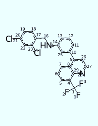 FC(F)(F)c1cccc2c(-c3cccc(NCc4ccc(Cl)cc4Cl)c3)[c]cnc12